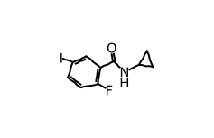 O=C(NC1CC1)c1cc(I)ccc1F